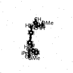 C=C1C[C@@H](c2nc(-c3ccc(C#Cc4ccc5[nH]c([C@@H]6C[C@@]7(CC=CCO7)CN6C(=O)[C@@H](NC(=O)OC)C(C)C)nc5c4)cc3)c[nH]2)N(C(=O)[C@@H](NC(=O)OC)C(C)C)C1